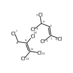 ClC(Cl)=CC(Cl)Cl.ClCC(Cl)=C(Cl)Cl